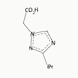 CC(C)c1ncn(CC(=O)O)n1